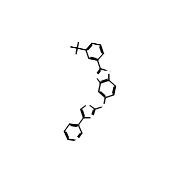 FC(F)(F)c1cccc(-c2nc3cc(Nc4nc(-c5cccnc5)cs4)ccc3[nH]2)c1